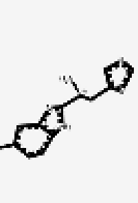 N[C@@H](Cc1cscn1)c1nc2cc(Cl)ccc2[nH]1